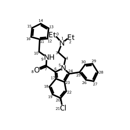 CCN(CC)CCn1c(C(=O)NCc2ccccc2)c2ccc(Cl)cc2c1-c1ccccc1